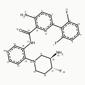 Nc1ccc(-c2c(F)cccc2F)nc1C(=O)Nc1cnccc1N1CC[C@@H](F)[C@H](N)C1